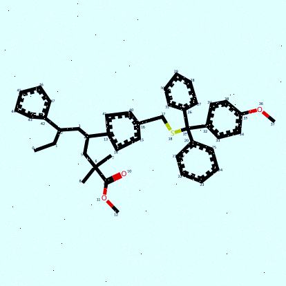 CCC(CC(CC(C)(C)C(=O)OC)c1ccc(CSC(c2ccccc2)(c2ccccc2)c2ccc(OC)cc2)cc1)c1ccccc1